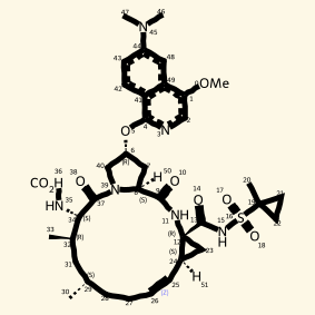 COc1cnc(O[C@@H]2C[C@H]3C(=O)N[C@]4(C(=O)NS(=O)(=O)C5(C)CC5)C[C@H]4/C=C\CC[C@H](C)C[C@@H](C)[C@H](NC(=O)O)C(=O)N3C2)c2ccc(N(C)C)cc12